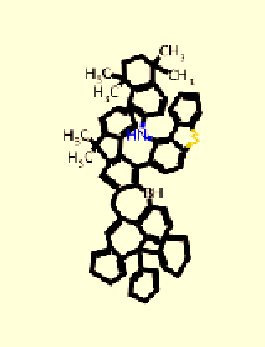 CC1(C)CCC(C)(C)c2cc(Nc3c(-c4c5c(cc6c4-c4ccccc4C6(C)C)CC4=CC6=CCCC=C6C(C6=CCCC=C6)(C6=CCCC=C6)c6cccc(c64)B5)ccc4sc5ccccc5c34)ccc21